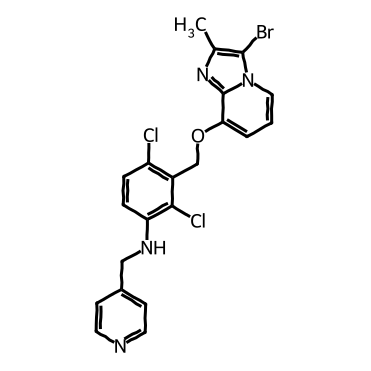 Cc1nc2c(OCc3c(Cl)ccc(NCc4ccncc4)c3Cl)cccn2c1Br